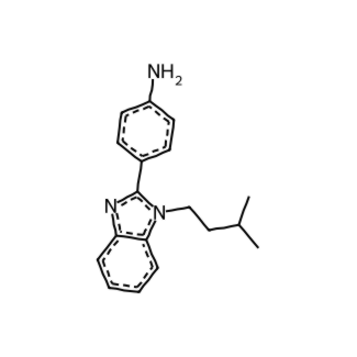 CC(C)CCn1c(-c2ccc(N)cc2)nc2ccccc21